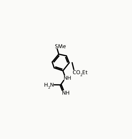 CCOC(C)=O.CSc1ccc(NC(=N)N)cc1